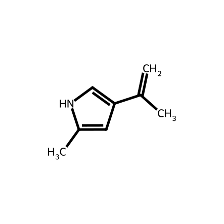 C=C(C)c1c[nH]c(C)c1